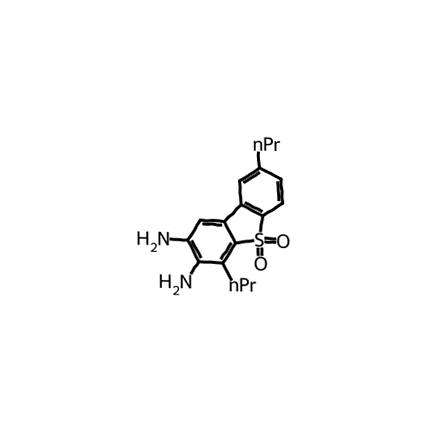 CCCc1ccc2c(c1)-c1cc(N)c(N)c(CCC)c1S2(=O)=O